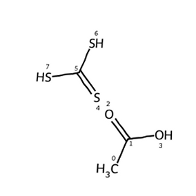 CC(=O)O.S=C(S)S